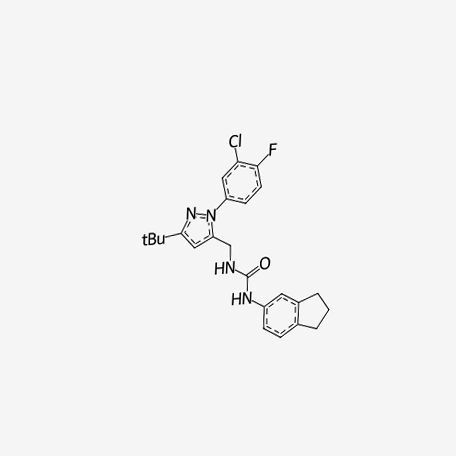 CC(C)(C)c1cc(CNC(=O)Nc2ccc3c(c2)CCC3)n(-c2ccc(F)c(Cl)c2)n1